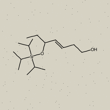 CCC(C=CCCO)O[Si](C(C)C)(C(C)C)C(C)C